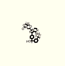 C[C@H]1OC(=O)N2C[C@H](c3nc(-c4ccc([C@@](C)(O)c5cccc(C(F)(F)F)c5)cc4)c4c(N)nccn34)OC[C@@H]12